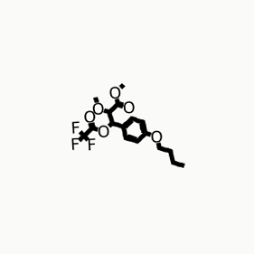 CCCCOc1ccc(C(OC(=O)C(F)(F)F)C(OC)C(=O)OC)cc1